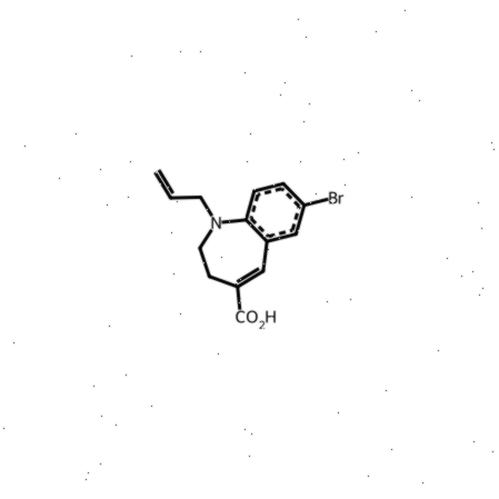 C=CCN1CCC(C(=O)O)=Cc2cc(Br)ccc21